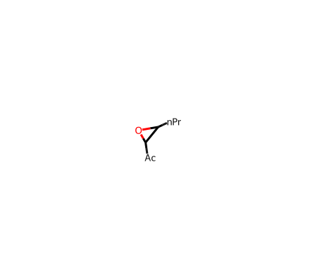 CCCC1OC1C(C)=O